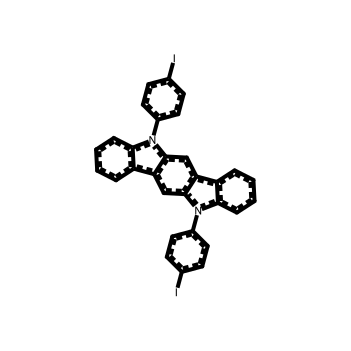 Ic1ccc(-n2c3ccccc3c3cc4c(cc32)c2ccccc2n4-c2ccc(I)cc2)cc1